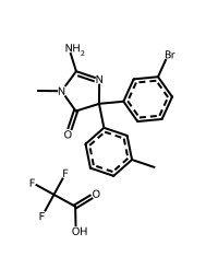 Cc1cccc(C2(c3cccc(Br)c3)N=C(N)N(C)C2=O)c1.O=C(O)C(F)(F)F